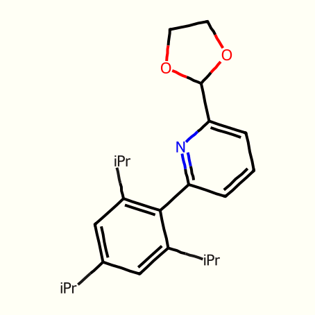 CC(C)c1cc(C(C)C)c(-c2cccc(C3OCCO3)n2)c(C(C)C)c1